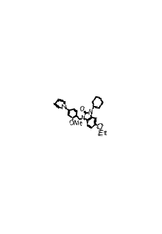 CCOc1ccc2c(c1)n(C1CCCCC1)c(=O)n2Cc1ccc(-n2cccc2)cc1OC